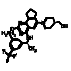 Cc1nc(N[C@H](C)c2cc(N)cc(C(F)(F)F)c2)c2cc(N3CCC(CO)CC3)c3c(c2n1)CCC3